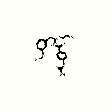 CCCC[C@@H](Cc1cccc(OC)c1)NC(=O)c1ccc(OC(N)=O)cc1